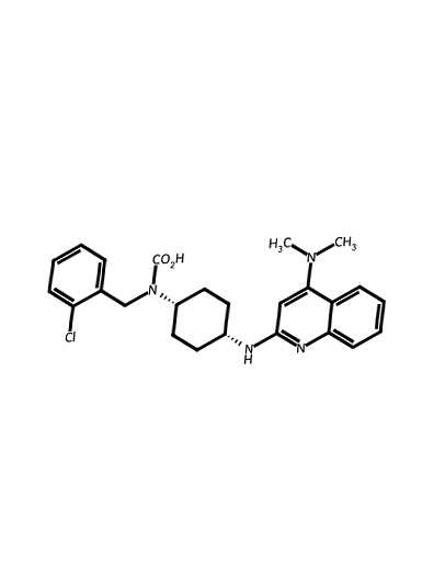 CN(C)c1cc(N[C@H]2CC[C@@H](N(Cc3ccccc3Cl)C(=O)O)CC2)nc2ccccc12